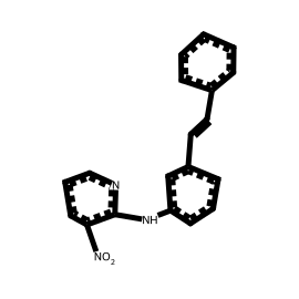 O=[N+]([O-])c1cccnc1Nc1cccc(C=Cc2ccccc2)c1